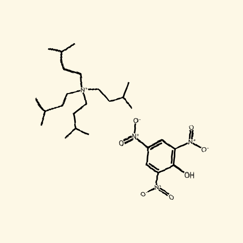 CC(C)CC[N+](CCC(C)C)(CCC(C)C)CCC(C)C.O=[N+]([O-])c1cc([N+](=O)[O-])c(O)c([N+](=O)[O-])c1